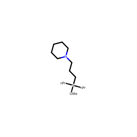 CCC[Si](CCC)(CCCN1CCCCC1)OC